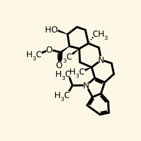 COC(=O)[C@H]1[C@@H](O)CC[C@@]2(C)CN3CCc4c(n(C(C)C)c5ccccc45)[C@]3(C)C[C@]12C